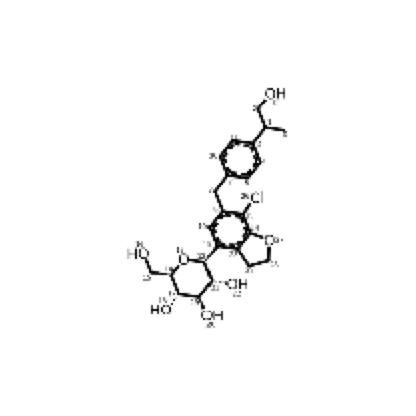 CC(CO)c1ccc(Cc2cc([C@@H]3O[C@H](CO)[C@@H](O)[C@H](O)[C@H]3O)c3c(c2Cl)OCC3)cc1